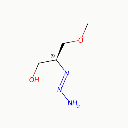 COC[C@H](CO)N=NN